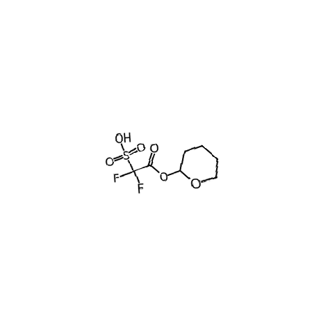 O=C(OC1CCCCO1)C(F)(F)S(=O)(=O)O